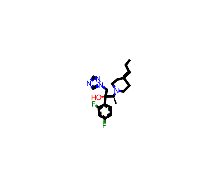 CCC=C1CCN([C@@H](C)[C@@](O)(Cn2cncn2)c2ccc(F)cc2F)CC1